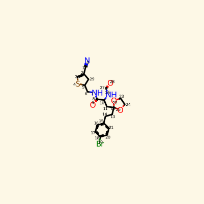 N#CC1=CSC(CNC(=O)C(CC2(CCc3ccc(Br)cc3)OCCO2)NC=O)C1